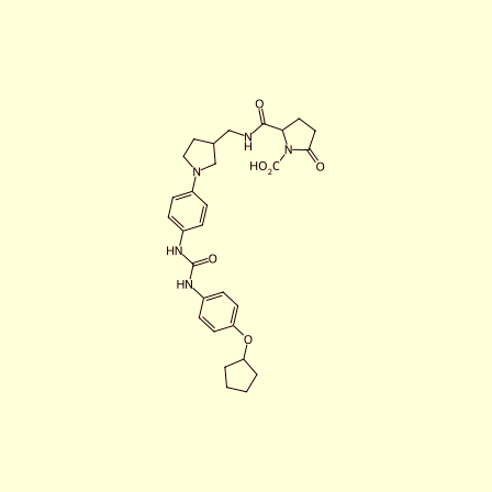 O=C(Nc1ccc(OC2CCCC2)cc1)Nc1ccc(N2CCC(CNC(=O)C3CCC(=O)N3C(=O)O)C2)cc1